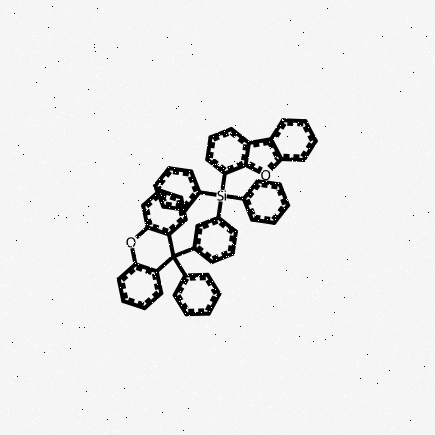 c1ccc(C2(c3cccc([Si](c4ccccc4)(c4ccccc4)c4cccc5c4oc4ccccc45)c3)c3ccccc3Oc3ccccc32)cc1